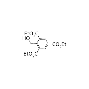 CCOC(=O)c1cc(C(=O)OCC)c(CO)c(C(=O)OCC)c1